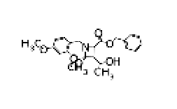 COc1ccc(CN2C(=O)C([C@@H](C)O)C2C(=O)OCc2ccccc2)c(OC)c1